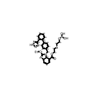 CCOC1=NC2C=CC=C(C(=O)OCCSCCON(O)O)C2N1Cc1ccc(-c2ccccc2-c2nn[nH]n2)cc1